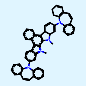 CN1c2c(c3ccccc3c3c4ccc(N5c6ccccc6C=Cc6ccccc65)cc4n(C)c23)C2C=CC(N3C4=C(C=CCC4)C=Cc4ccccc43)=CC21